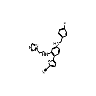 N#Cc1ccc(-c2ccc(NCc3ccc(F)cc3)cc2NCCn2cncn2)s1